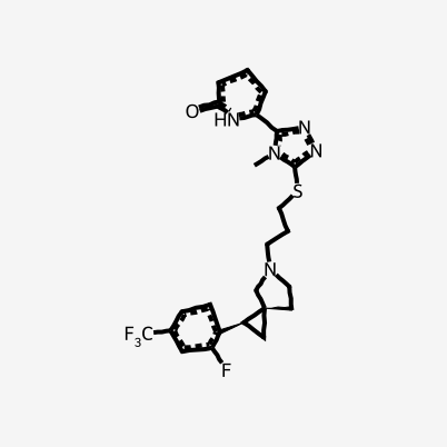 Cn1c(SCCCN2CC[C@]3(C[C@H]3c3ccc(C(F)(F)F)cc3F)C2)nnc1-c1cccc(=O)[nH]1